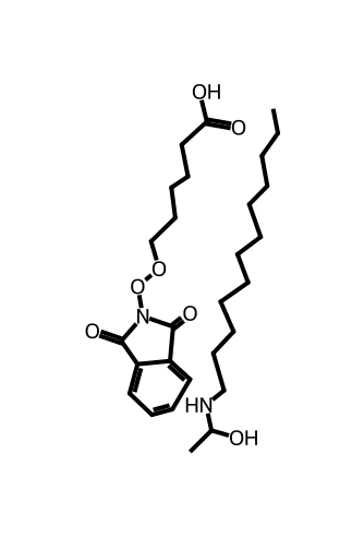 CCCCCCCCCCCCNC(C)O.O=C(O)CCCCCOON1C(=O)c2ccccc2C1=O